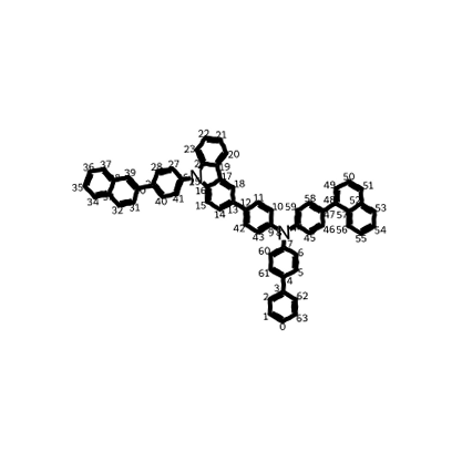 c1ccc(-c2ccc(N(c3ccc(-c4ccc5c(c4)c4ccccc4n5-c4ccc(-c5ccc6ccccc6c5)cc4)cc3)c3ccc(-c4cccc5ccccc45)cc3)cc2)cc1